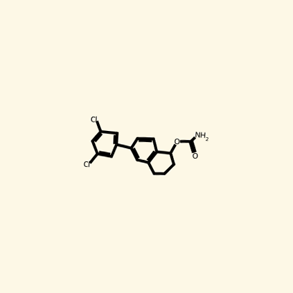 NC(=O)OC1CCCc2cc(-c3cc(Cl)cc(Cl)c3)ccc21